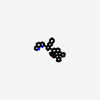 c1ccc(C2(c3ccccc3)c3ccccc3-c3ccc4cc(-c5ccc(-c6ccc7ccc8cccnc8c7n6)c6cc7ccccc7cc56)c5ccccc5c4c32)cc1